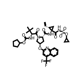 C=C[C@@H]1C[C@]1(NC(=O)[C@@H]1C[C@@H](Oc2cc(C(F)(F)F)c3ccccc3n2)CN1C(=O)[C@@H](NC(=O)OC1CCCC1)C(C)(C)C)C(=O)NS(=O)(=O)OC1CC1